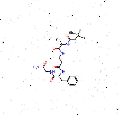 CC(C)C(NC(=O)C[Si](F)(C(C)(C)C)C(C)(C)C)C(=O)NCCC(=O)N[C@@H](Cc1ccccc1)C(=O)NCC(N)=O